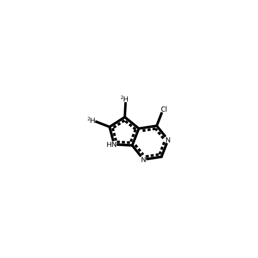 [2H]c1[nH]c2ncnc(Cl)c2c1[2H]